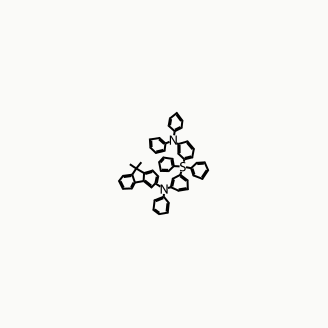 CC1(C)c2ccccc2-c2cc(N(c3ccccc3)c3cccc(S(c4ccccc4)(c4ccccc4)c4cccc(N(c5ccccc5)c5ccccc5)c4)c3)ccc21